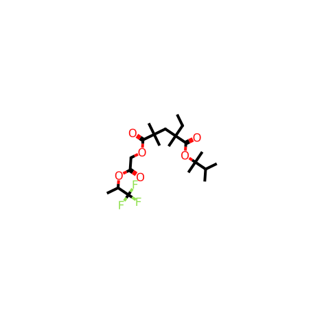 CCC(C)(CC(C)(C)C(=O)OCC(=O)OC(C)C(F)(F)F)C(=O)OC(C)(C)C(C)C